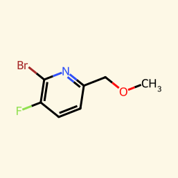 COCc1ccc(F)c(Br)n1